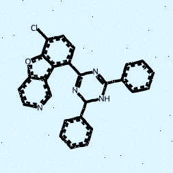 Clc1ccc(C2=NC(c3ccccc3)NC(c3ccccc3)=N2)c2c1oc1ccncc12